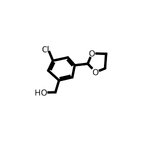 OCc1cc(Cl)cc(C2OCCO2)c1